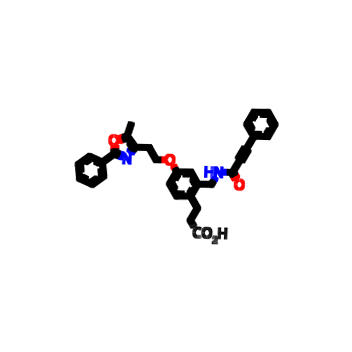 Cc1oc(-c2ccccc2)nc1CCOc1ccc(CCC(=O)O)c(CNC(=O)C#Cc2ccccc2)c1